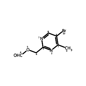 Cc1nc(COC=O)ncc1Br